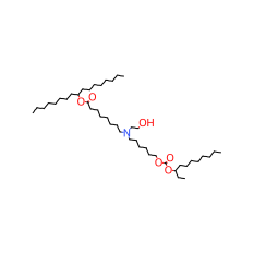 CCCCCCCCC(CCCCCCCC)OC(=O)CCCCCCCN(CCO)CCCCCCOC(=O)OC(CC)CCCCCCCC